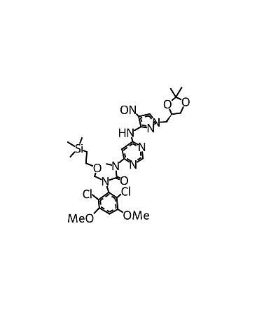 COc1cc(OC)c(Cl)c(N(COCC[Si](C)(C)C)C(=O)N(C)c2cc(Nc3nn(C[C@@H]4COC(C)(C)O4)cc3N=O)ncn2)c1Cl